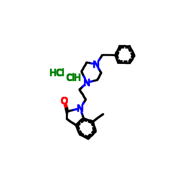 Cc1cccc2c1N(CCN1CCN(Cc3ccccc3)CC1)C(=O)C2.Cl.Cl